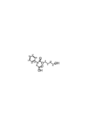 O=C(O)CC(C(=O)OCCCCO)c1ccccc1